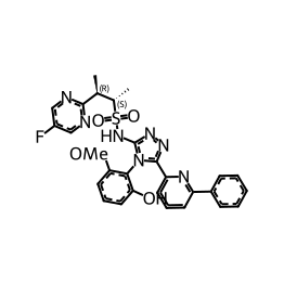 COc1cccc(O)c1-n1c(NS(=O)(=O)[C@@H](C)[C@H](C)c2ncc(F)cn2)nnc1C1=C=C=CC(c2ccccc2)=N1